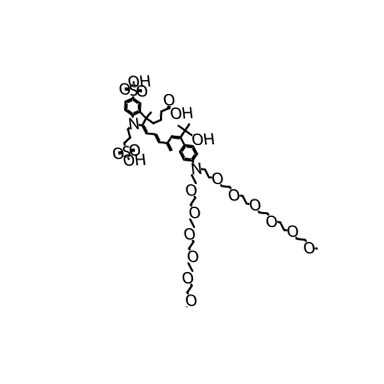 C=C(/C=C(\c1ccc(N(CCOCCOCCOCCOCCOCCOC)CCOCCOCCOCCOCCOCCOC)cc1O)C(C)(C)C)/C=C/C=C1/N(CCCS(=O)(=O)O)c2ccc(S(=O)(=O)O)cc2C1(C)CCCC(=O)O